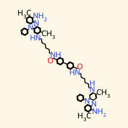 CC1=CC2=Nc3c(ccc(C)c3N)N(c3ccccc3)C2C=C1NCCCCCCNC(=O)c1ccc(-c2ccc(C(=O)NCCCCCCNc3cc4c(cc3C)nc3c(N)c(C)ccc3[n+]4-c3ccccc3)cc2)cc1